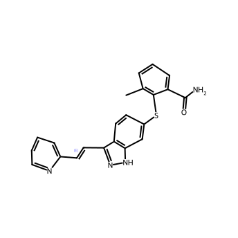 Cc1cccc(C(N)=O)c1Sc1ccc2c(/C=C/c3ccccn3)n[nH]c2c1